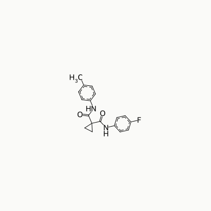 Cc1ccc(NC(=O)C2(C(=O)Nc3ccc(F)cc3)CC2)cc1